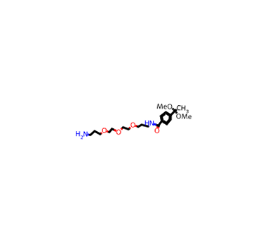 COC(C)(OC)c1ccc(C(=O)NCCCOCCOCCOCCCN)cc1